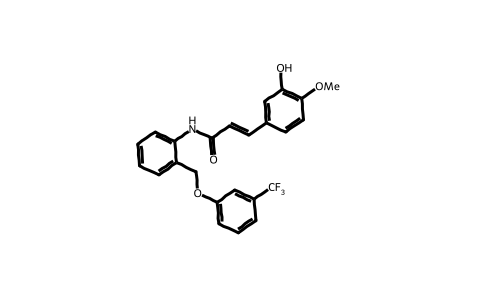 COc1ccc(C=CC(=O)Nc2ccccc2COc2cccc(C(F)(F)F)c2)cc1O